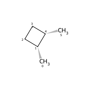 C[C@@H]1C[CH][C@@H]1C